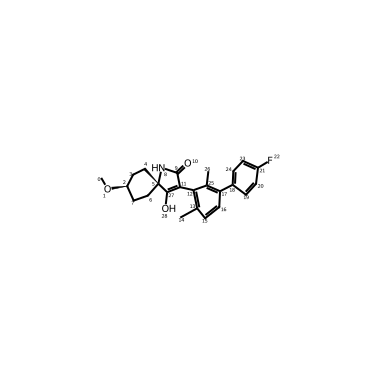 CO[C@H]1CC[C@@]2(CC1)NC(=O)C(c1c(C)ccc(-c3ccc(F)cc3)c1C)=C2O